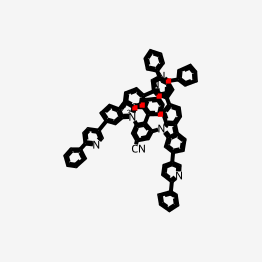 N#Cc1cc(-n2c3cc(-c4ccc(-c5ccccc5)nc4)ccc3c3ccc(-c4ccc(-c5ccccc5)nc4)cc32)c(-c2ccccc2C(F)(F)F)c(-n2c3cc(-c4ccc(-c5ccccc5)nc4)ccc3c3ccc(-c4ccc(-c5ccccc5)nc4)cc32)c1